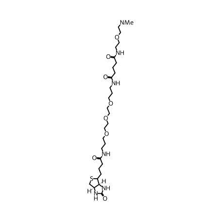 CNCCOCCNC(=O)CCCC(=O)NCCCOCCOCCOCCCNC(=O)CCCC1SC[C@@H]2NC(=O)N[C@H]12